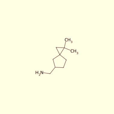 CC1(C)CC12CCC(CN)C2